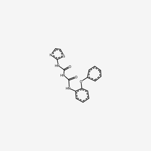 O=C(NC(=O)Nc1ccccc1Oc1ccccc1)Nc1nccs1